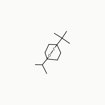 CC(C)C12CCC(C(C)(C)C)(CC1)CO2